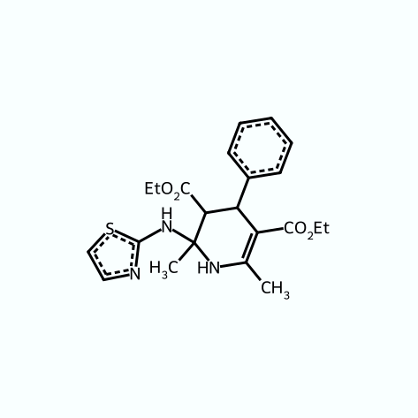 CCOC(=O)C1=C(C)NC(C)(Nc2nccs2)C(C(=O)OCC)C1c1ccccc1